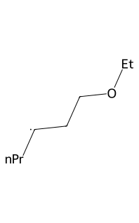 CCC[CH]CCOCC